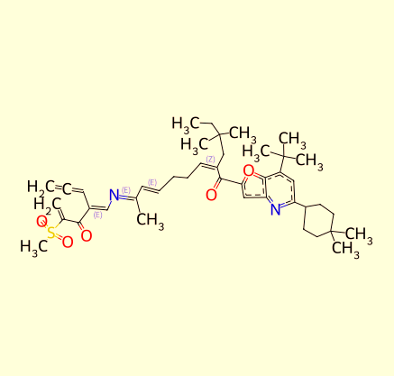 C=C=C\C(=C/N=C(C)/C=C/CC/C=C(/CC(C)(C)CC)C(=O)c1cc2nc(C3CCC(C)(C)CC3)cc(C(C)(C)C)c2o1)C(=O)C(=C)S(C)(=O)=O